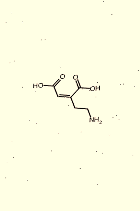 NCC/C(=C/C(=O)O)C(=O)O